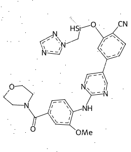 COc1cc(C(=O)N2CCOCC2)ccc1Nc1ncc(-c2ccc(C#N)c(O[Si@@H](C)Cn3cncn3)c2)cn1